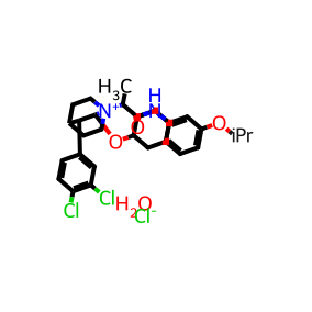 CC(C)Oc1cccc(CC(=O)C(C)[N+]23CCC(CC2)C(c2ccc(Cl)c(Cl)c2)C3OC2CCCNC2)c1.O.[Cl-]